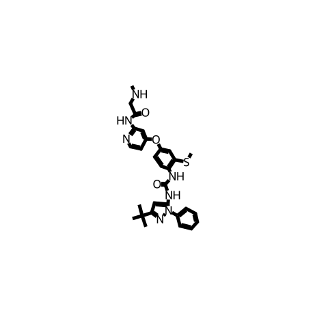 CNCC(=O)Nc1cc(Oc2ccc(NC(=O)Nc3cc(C(C)(C)C)nn3-c3ccccc3)c(SC)c2)ccn1